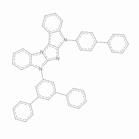 c1ccc(-c2ccc(-n3c4ccccc4c4c3nc3n(-c5cc(-c6ccccc6)cc(-c6ccccc6)c5)c5ccccc5n43)cc2)cc1